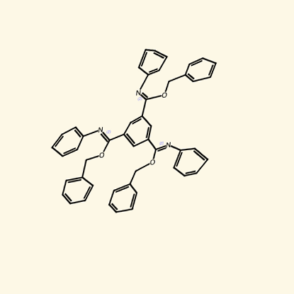 c1ccc(CO/C(=N\c2ccccc2)c2cc(/C(=N/c3ccccc3)OCc3ccccc3)cc(/C(=N/c3ccccc3)OCc3ccccc3)c2)cc1